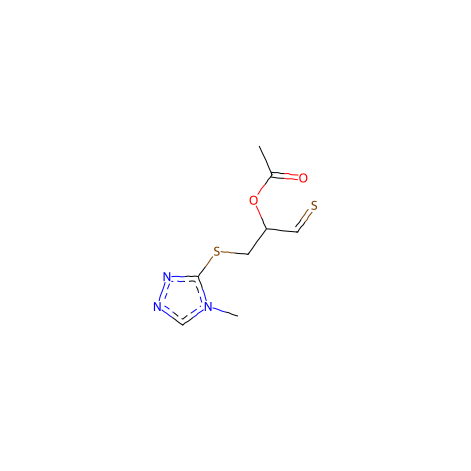 CC(=O)OC(C=S)CSc1nncn1C